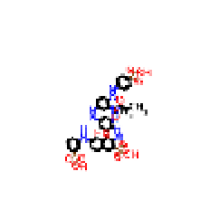 CCC(=O)Nc1cc(/N=N\c2ccc(/N=N\c3c(S(=O)(=O)O)cc4ccc(NC5=C=C(S(=O)(=O)O)C=CC5)cc4c3O)c(OC)c2)ccc1N=Nc1ccc(S(=O)(=O)O)cc1